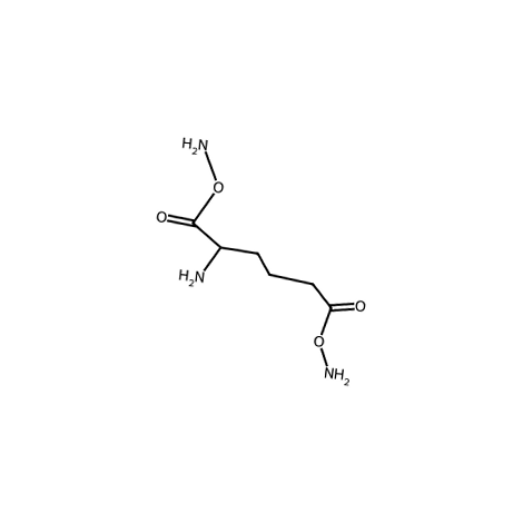 NOC(=O)CCCC(N)C(=O)ON